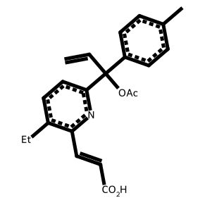 C=CC(OC(C)=O)(c1ccc(C)cc1)c1ccc(CC)c(C=CC(=O)O)n1